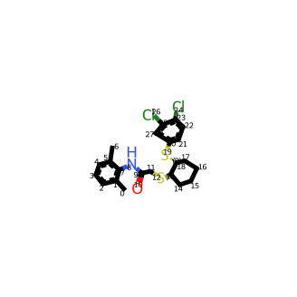 Cc1cccc(C)c1NC(=O)CS[C@@H]1CCCC[C@H]1Sc1ccc(Cl)c(Cl)c1